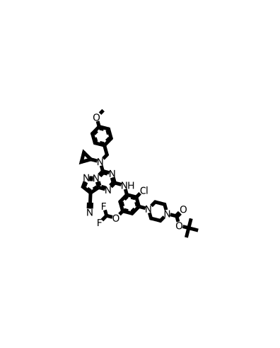 COc1ccc(CN(c2nc(Nc3cc(OC(F)F)cc(N4CCN(C(=O)OC(C)(C)C)CC4)c3Cl)nc3c(C#N)cnn23)C2CC2)cc1